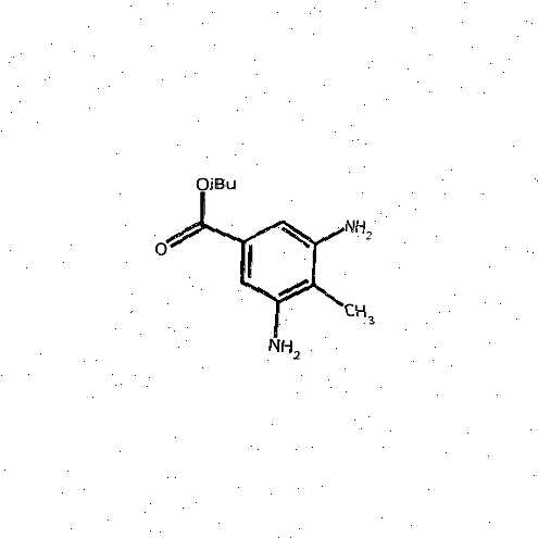 Cc1c(N)cc(C(=O)OCC(C)C)cc1N